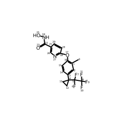 Cc1cc(C2(C(F)(F)C(F)(F)F)CC2)ccc1Oc1ccc(C(=O)NO)cn1